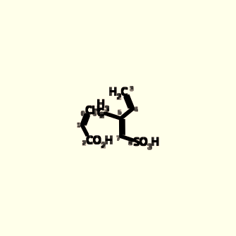 C=CC(=O)O.C=CC(C)=CS(=O)(=O)O